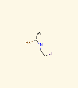 CC(C)/C(S)=N/C=C\I